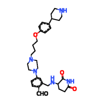 O=Cc1ccc(N2CCN(CCCCOc3ccc(C4CCNCC4)cc3)CC2)cc1CNC1CCC(=O)NC1=O